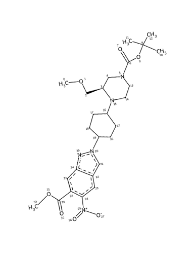 COC[C@H]1CN(C(=O)OC(C)(C)C)CCN1C1CCC(n2cc3cc([N+](=O)[O-])c(C(=O)OC)cc3n2)CC1